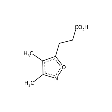 Cc1noc(CCC(=O)O)c1C